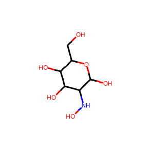 OCC1OC(O)C(NO)C(O)C1O